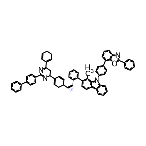 Cc1c(-c2ccccc2/C=C\C2C=CC(C3CC(C4=CCCC=C4)=NC(c4ccc(-c5ccccc5)cc4)=N3)=CC2)ccc2c3ccccc3n(-c3ccc(-c4cccc5nc(-c6ccccc6)oc45)cc3)c12